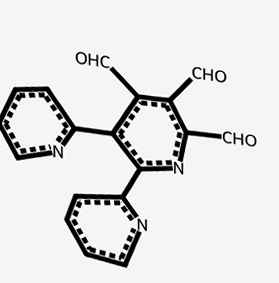 O=Cc1nc(-c2ccccn2)c(-c2ccccn2)c(C=O)c1C=O